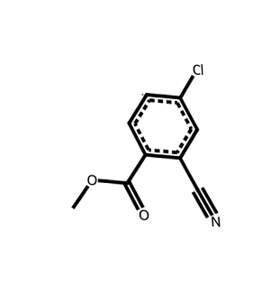 COC(=O)c1c[c]c(Cl)cc1C#N